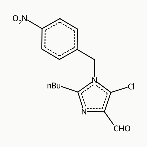 CCCCc1nc(C=O)c(Cl)n1Cc1ccc([N+](=O)[O-])cc1